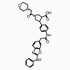 CN(C(=O)Cc1ccc2nc(Nc3ccccc3)oc2c1)c1ccc(C2CN(C(=O)CN3CCOCC3)CC2C(=O)O)cc1